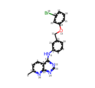 Cc1ccc2c(Nc3cccc(COc4cccc(Br)c4)c3)ncnc2n1